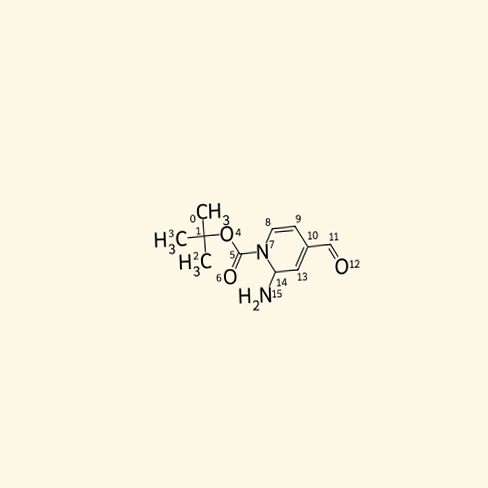 CC(C)(C)OC(=O)N1C=CC(C=O)=CC1N